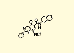 CCn1cc(C(=O)NC2CCc3ccccc3C2)c(=O)c2cnc(N3CCCC3)nc21.Cl